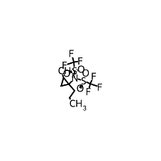 CCCC1(N(S(=O)(=O)C(F)(F)F)S(=O)(=O)C(F)(F)F)CC1C